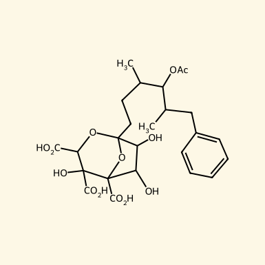 CC(=O)OC(C(C)CCC12OC(C(=O)O)C(O)(C(=O)O)C(C(=O)O)(O1)C(O)C2O)C(C)Cc1ccccc1